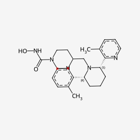 Cc1cccnc1[C@H]1CCC[C@@H](c2ncccc2C)N1CC1CCN(C(=O)NO)CC1